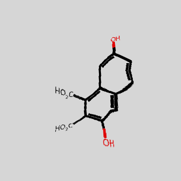 O=C(O)c1c(O)cc2ccc(O)cc2c1C(=O)O